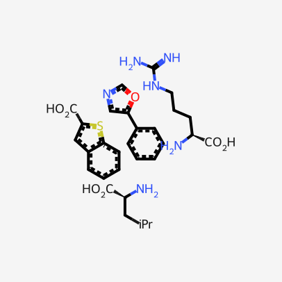 CC(C)C[C@H](N)C(=O)O.N=C(N)NCCC[C@H](N)C(=O)O.O=C(O)c1cc2ccccc2s1.c1ccc(-c2cnco2)cc1